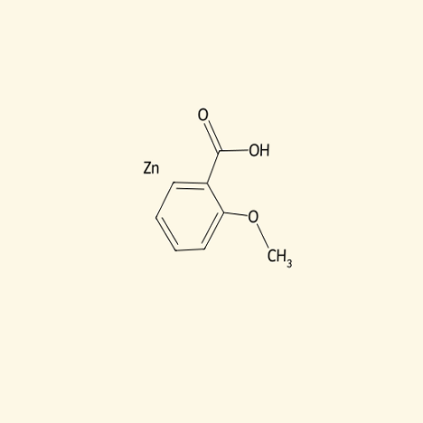 COc1ccccc1C(=O)O.[Zn]